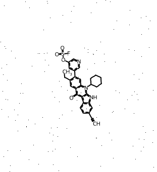 C#Cc1ccc2c(c1)[nH]c1c2c(=O)c2cc(CC)c(-c3cncc(OS(=O)(=O)F)c3)cc2n1C1CCCCC1